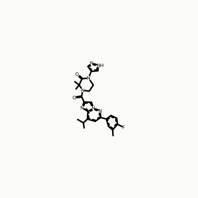 Cc1cc(-c2cc(C(C)C)c3nc(C(=O)N4CCN(c5cn[nH]c5)C(=O)C4(C)C)cn3n2)ccc1F